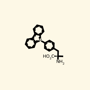 C[C@](N)(Cc1ccc(-n2c3ccccc3c3ccccc32)cc1)C(=O)O